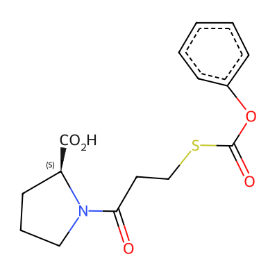 O=C(Oc1ccccc1)SCCC(=O)N1CCC[C@H]1C(=O)O